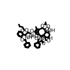 CCCC(=O)O[C@@H](C(=O)O[C@H]1C[C@@]2(O)[C@@H](OC(=O)c3ccccc3)[C@@H]3[C@]4(OC(C)=O)CO[C@@H]4C[C@H](O)[C@@]3(C)C(=O)[C@H](OC(C)=O)C(=C1C)C2(C)C)[C@@H](NC(=O)c1ccccc1)c1ccccc1